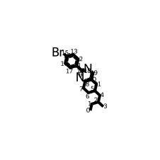 CCC(C)CC1CCc2nc(-c3ccc(Br)cc3)ncc2C1